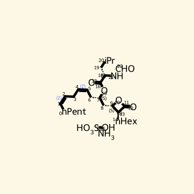 CCCCC/C=C\C/C=C\C[C@@H](C[C@@H]1OC(=O)[C@H]1CCCCCC)OC(=O)[C@H](CC(C)C)NC=O.N.O=S(=O)(O)O